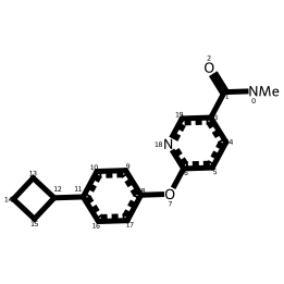 CNC(=O)c1ccc(Oc2ccc(C3CCC3)cc2)nc1